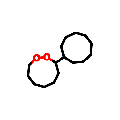 C1CCCCC(C2CCCCCCOO2)CCC1